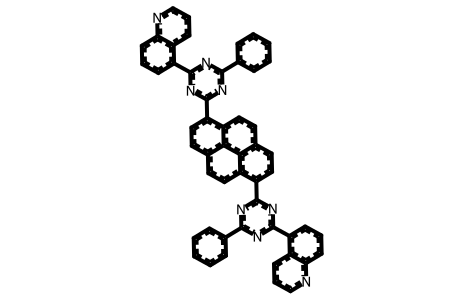 c1ccc(-c2nc(-c3cccc4ncccc34)nc(-c3ccc4ccc5c(-c6nc(-c7ccccc7)nc(-c7cccc8ncccc78)n6)ccc6ccc3c4c65)n2)cc1